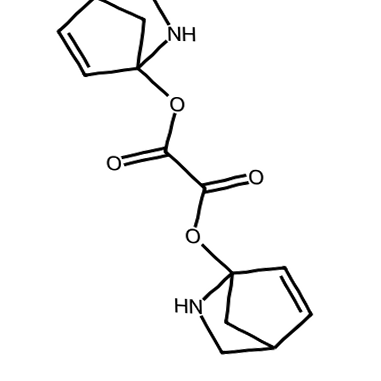 O=C(OC12C=CC(CN1)C2)C(=O)OC12C=CC(CN1)C2